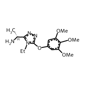 CCn1c(Oc2cc(OC)c(OC)c(OC)c2)nnc1[C@@H](C)N